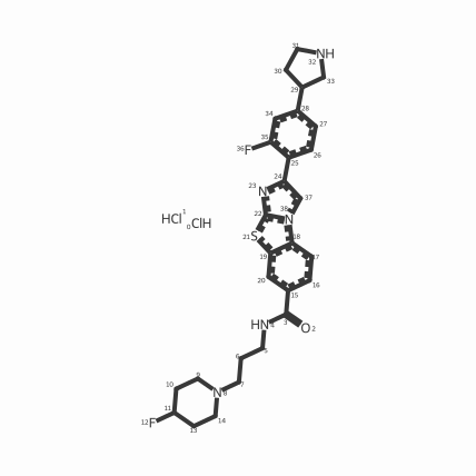 Cl.Cl.O=C(NCCCN1CCC(F)CC1)c1ccc2c(c1)sc1nc(-c3ccc(C4CCNC4)cc3F)cn12